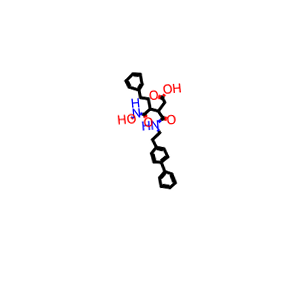 O=C(O)CC(C(=O)NCCc1ccc(-c2ccccc2)cc1)C(CCc1ccccc1)C(=O)NO